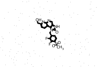 CS(=O)(=O)c1ccc(Cn2c(=O)[nH]c3cnc4nc(CO)ccc4c32)c(F)c1F